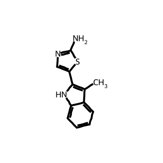 Cc1c(-c2cnc(N)s2)[nH]c2ccccc12